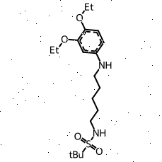 CCOc1ccc(NCCCCCNS(=O)(=O)C(C)(C)C)cc1OCC